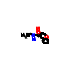 BCNCC[C@]1(O)CCOC2(CCCC2)C1